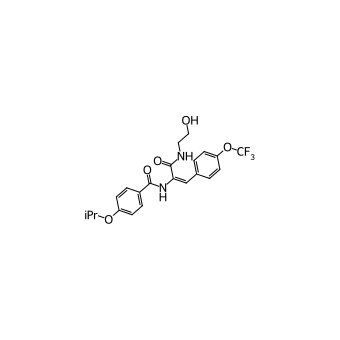 CC(C)Oc1ccc(C(=O)NC(=Cc2ccc(OC(F)(F)F)cc2)C(=O)NCCO)cc1